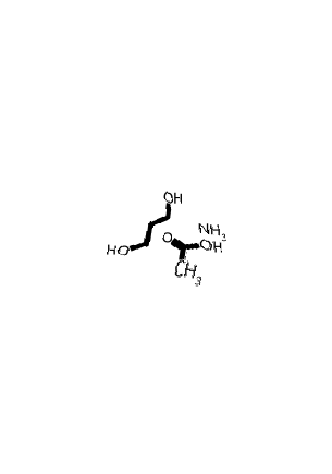 CC(=O)O.N.OCCCO